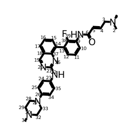 CN(C)CC=CC(=O)Nc1cccc(-c2cccc3cnc(Nc4ccc(N5CCN(C)CC5)cc4)nc23)c1F